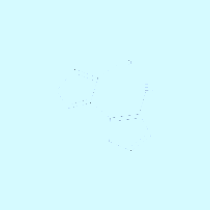 CCCCC1=[C]CC=C1C1=C(CC)C=CC1